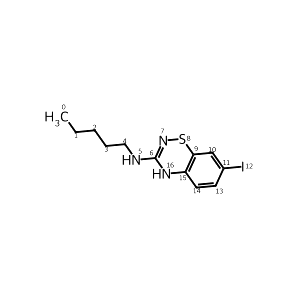 CCCCCNC1=NSc2cc(I)ccc2N1